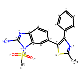 Cc1nc(-c2ccccc2)c(-c2ccc3nc(N)n(S(=O)(=O)C(C)C)c3c2)s1